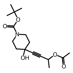 CC(=O)OC(C)C#CC1(O)CCN(C(=O)OC(C)(C)C)CC1